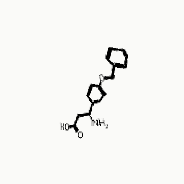 N[C@H](CC(=O)O)c1ccc(OCc2ccccc2)cc1